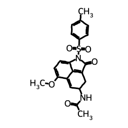 COc1ccc2c3c1=CC(NC(C)=O)CC=3C(=O)N2S(=O)(=O)c1ccc(C)cc1